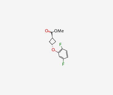 COC(=O)[C@H]1C[C@H](Oc2cc(F)ccc2F)C1